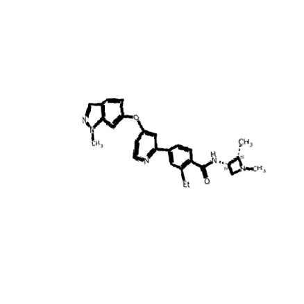 CCc1cc(-c2cc(Oc3ccc4cnn(C)c4c3)ccn2)ccc1C(=O)N[C@H]1CN(C)[C@H]1C